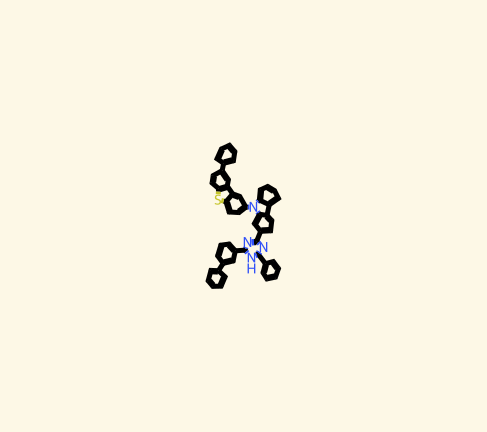 c1ccc(C2=NC(c3ccc4c5ccccc5n(-c5ccc6sc7ccc(-c8ccccc8)cc7c6c5)c4c3)=NC(c3cccc(-c4ccccc4)c3)N2)cc1